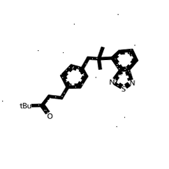 CC(C)(C)C(=O)CCc1ccc(CC(C)(C)c2cccc3nsnc23)cc1